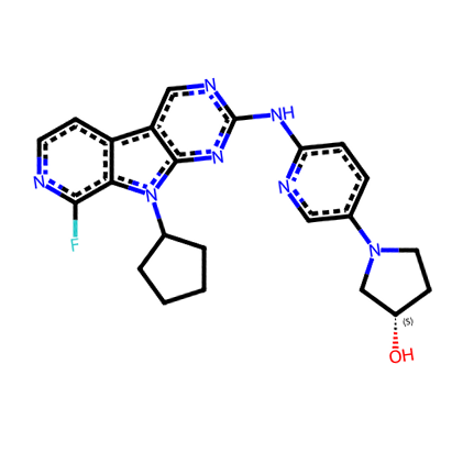 O[C@H]1CCN(c2ccc(Nc3ncc4c5ccnc(F)c5n(C5CCCC5)c4n3)nc2)C1